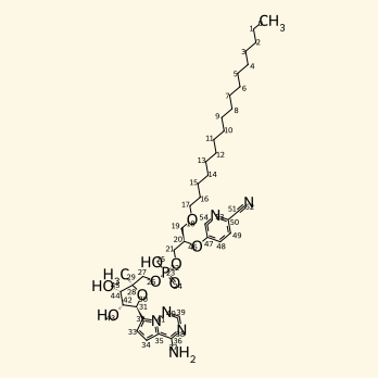 CCCCCCCCCCCCCCCCCCOC[C@H](COP(=O)(O)OC[C@@]1(C)O[C@@H](c2ccc3c(N)ncnn23)[C@H](O)[C@@H]1O)Oc1ccc(C#N)nc1